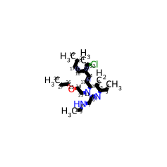 C=CC(CC)/N=C(/CNCC)N(C/C=C/C(/C=C\CC)=C(/C)Cl)CCOCCC